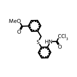 COC(=O)c1cccc(CSc2ccccc2NC(=O)C(Cl)(Cl)Cl)c1